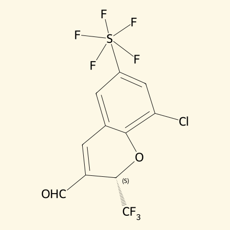 O=CC1=Cc2cc(S(F)(F)(F)(F)F)cc(Cl)c2O[C@@H]1C(F)(F)F